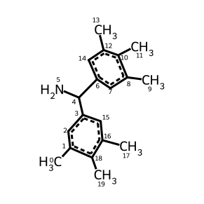 Cc1cc(C(N)c2cc(C)c(C)c(C)c2)cc(C)c1C